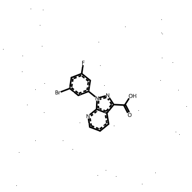 O=C(O)c1nn(-c2cc(F)cc(Br)c2)c2ncccc12